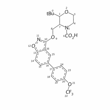 CC(C)(C)C1OCCN(C(=O)O)C1COc1noc2ccc(-c3ccc(OC(F)(F)F)cc3)cc12